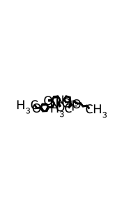 CCCCOC[C@]1(C(C)F)CC[C@H](n2ccc(=O)n(Cc3ccc(OC)cc3)c2=O)O1